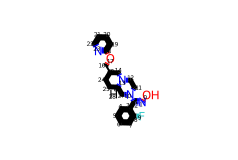 O/N=C(/c1ccccc1F)N1CCN2C[C@H](COc3ccccn3)CC[C@H]2C1